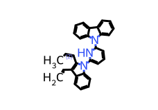 C=Cc1c(/C=C\C)n(C2=CC=CC(n3c4ccccc4c4ccccc43)N2)c2ccccc12